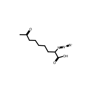 CC(=O)CCCCCC(N=[N+]=[N-])C(=O)O